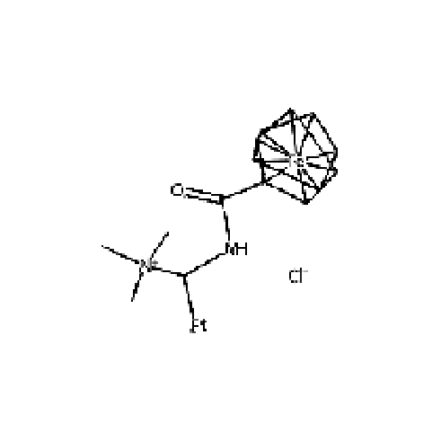 CCC(NC(=O)[C]12[CH]3[CH]4[CH]5[CH]1[Fe]45321678[CH]2[CH]1[CH]6[CH]7[CH]28)[N+](C)(C)C.[Cl-]